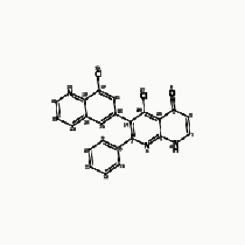 O=c1cc[nH]c2nc(-c3ccccc3)c(-c3cc(Cl)c4ncccc4c3)c(Cl)c12